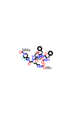 CNC(=O)N1CCC2(CN(C(=O)[C@@H](CCCCNC(=O)OC(C)(C)C)NC(=O)[C@@H](CC(C)C)NC(=O)[C@@H](Cc3ccccc3)NC(=O)[C@@H](Cc3ccccc3)NC(=O)OC(C)(C)C)C2)C(F)(F)C1